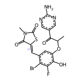 CC(Oc1cc(/C=C2\SC(=O)N(C)C2=O)c(Br)c(F)c1O)C(=O)c1cnc(N)nc1